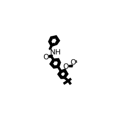 COCOc1cc(C(C)(C)C)ccc1-c1ccc(C(=O)NCc2ccccc2)cc1